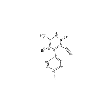 Cc1[nH]c(=O)c(C#N)c(-c2ccc(F)cc2)c1Br